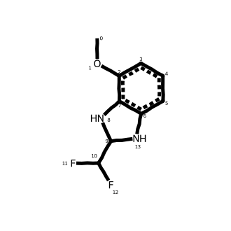 COc1cccc2c1NC(C(F)F)N2